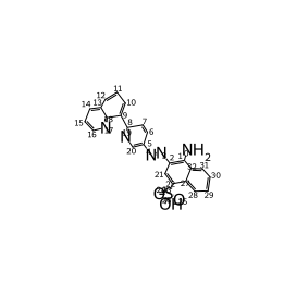 Nc1c(N=Nc2ccc(-c3cccc4cccnc34)nc2)cc(S(=O)(=O)O)c2ccccc12